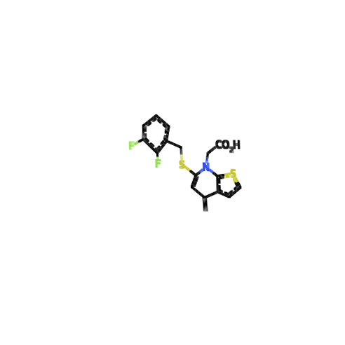 C=C1C=C(SCc2cccc(F)c2F)N(CC(=O)O)c2sccc21